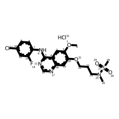 COc1cc2c(Nc3ccc(Cl)cc3F)ncnc2cc1OCCCN(C)S(C)(=O)=O.Cl